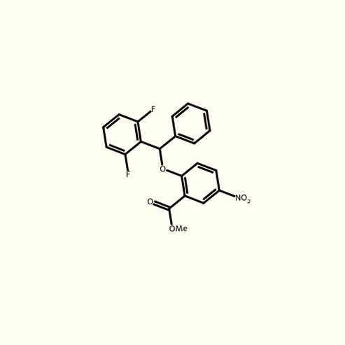 COC(=O)c1cc([N+](=O)[O-])ccc1OC(c1ccccc1)c1c(F)cccc1F